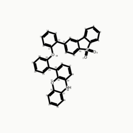 O=S1(=O)c2ccccc2-c2cc(-c3ccccc3Oc3ccccc3-c3cccc4c3Oc3ccccc3N4)ccc21